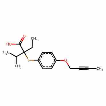 CC#CCOc1ccc(SC(CC)(C(=O)O)C(C)C)cc1